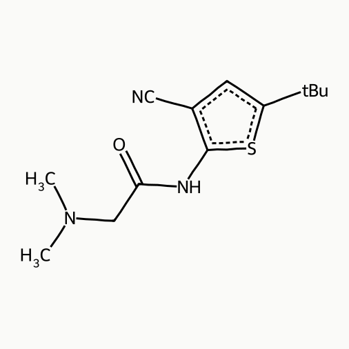 CN(C)CC(=O)Nc1sc(C(C)(C)C)cc1C#N